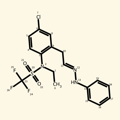 CCN(c1ccc(Cl)cc1CC=NNc1ccccc1)S(=O)(=O)C(F)(F)F